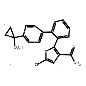 NC(=O)c1cc(Cl)sc1-c1ccccc1-c1ccc(C2(C(=O)O)CC2)cc1